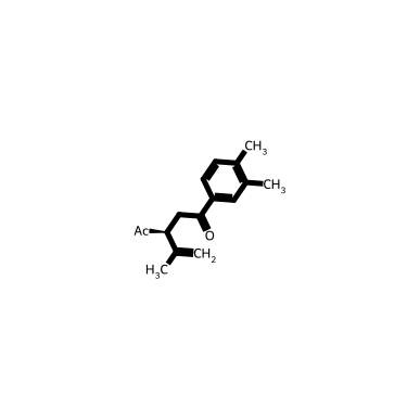 C=C(C)[C@H](CC(=O)c1ccc(C)c(C)c1)C(C)=O